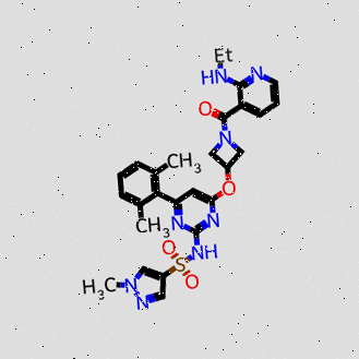 CCNc1ncccc1C(=O)N1CC(Oc2cc(-c3c(C)cccc3C)nc(NS(=O)(=O)c3cnn(C)c3)n2)C1